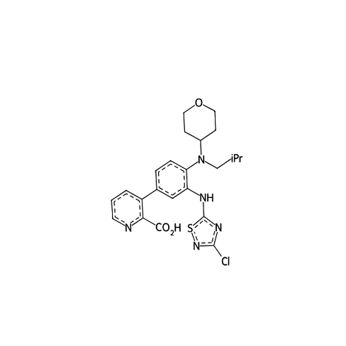 CC(C)CN(c1ccc(-c2cccnc2C(=O)O)cc1Nc1nc(Cl)ns1)C1CCOCC1